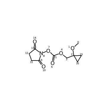 COC1(COC(=O)ON2C(=O)CCC2=O)CC1